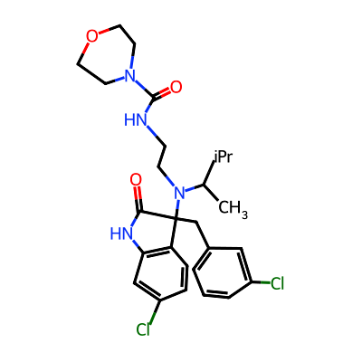 CC(C)C(C)N(CCNC(=O)N1CCOCC1)C1(Cc2cccc(Cl)c2)C(=O)Nc2cc(Cl)ccc21